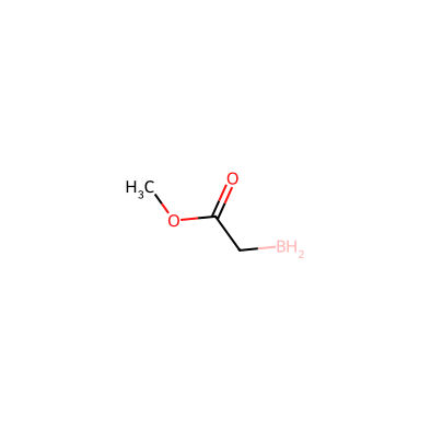 BCC(=O)OC